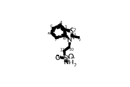 Cc1sc2ccccc2[n+]1CCS(N)(=O)=O